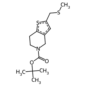 CSCc1cc2c(s1)CCN(C(=O)OC(C)(C)C)C2